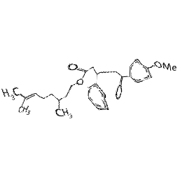 COc1ccc(C(=O)CC(CC(=O)OCCC(C)CCC=C(C)C)c2ccccc2)cc1